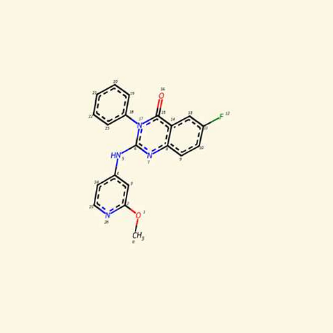 COc1cc(Nc2nc3ccc(F)cc3c(=O)n2-c2ccccc2)ccn1